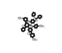 CC(C)(C)c1ccc(N2B3c4cc5nc(-c6ccccc6)n(-c6ccccc6)c5cc4-n4c5ccc(C(C)(C)C)cc5c5c6oc7ccccc7c6c(c3c54)-c3cc4oc5cc(C(C)(C)C)ccc5c4cc32)cc1